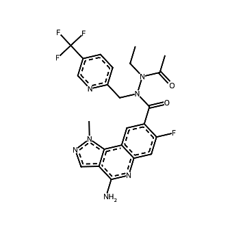 CCN(C(C)=O)N(Cc1ccc(C(F)(F)F)cn1)C(=O)c1cc2c(cc1F)nc(N)c1cnn(C)c12